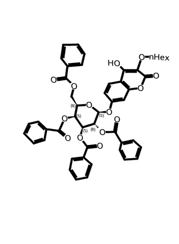 CCCCCCOc1c(O)c2ccc(O[C@@H]3O[C@H](COC(=O)c4ccccc4)[C@H](OC(=O)c4ccccc4)[C@H](OC(=O)c4ccccc4)[C@H]3OC(=O)c3ccccc3)cc2oc1=O